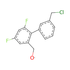 [O]Cc1cc(F)cc(F)c1-c1cccc(CCl)c1